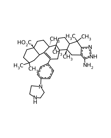 CC1(C)CC[C@]2(C(=O)O)CC[C@]3(C)C(=C(c4ccc(N5CCNCC5)cc4)CC4[C@@]5(C)Cc6c(n[nH]c6N)C(C)(C)C5CC[C@]43C)C2C1